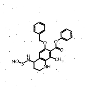 Cc1c2c(cc(OCc3ccccc3)c1C(=O)Oc1ccccc1)C(NSO)CCN2